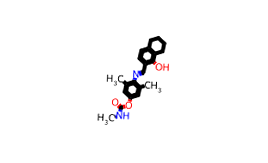 CNC(=O)Oc1cc(C)c(N=Cc2ccc3c(c2O)CCCC3)c(C)c1